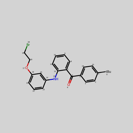 CC(C)(C)c1ccc(C(=O)c2ccccc2Nc2[c]c(OCCBr)ccc2)cc1